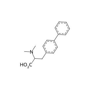 CN(C)C(Cc1ccc(-c2ccccc2)cc1)C(=O)O